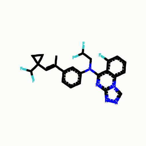 CC(=CC1(C(F)F)CC1)c1cccc(N(CC(F)F)c2nc3nncn3c3cccc(F)c23)c1